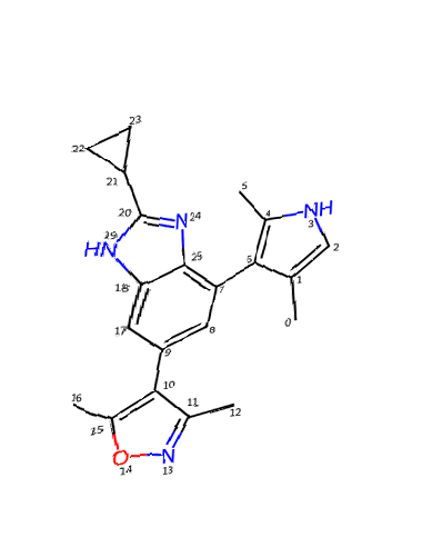 Cc1c[nH]c(C)c1-c1cc(-c2c(C)noc2C)cc2[nH]c(C3CC3)nc12